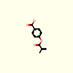 C=C(C)C(=O)Oc1ccc(C([O])=O)cc1